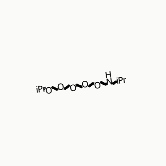 CC(C)CNCCOCCOCCOCCOCCOC(C)C